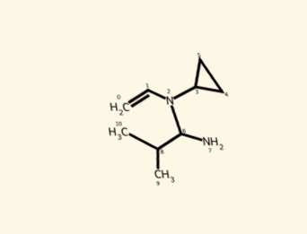 C=CN(C1CC1)C(N)C(C)C